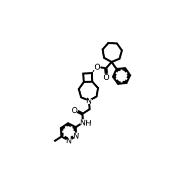 Cc1ccc(NC(=O)CN2CCC3C[C@H](OC(=O)C4(c5ccccc5)CCCCCC4)C3CC2)nn1